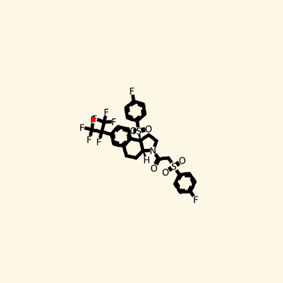 O=C(CS(=O)(=O)c1ccc(F)cc1)N1CC[C@@]2(S(=O)(=O)c3ccc(F)cc3)c3ccc(C(F)(C(F)(F)F)C(F)(F)F)cc3CC[C@@H]12